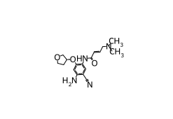 CN(C)CC=CC(=O)Nc1cc(C#N)c(N)cc1O[C@H]1CCOC1